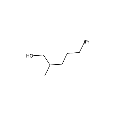 CC(C)CCCC(C)CO